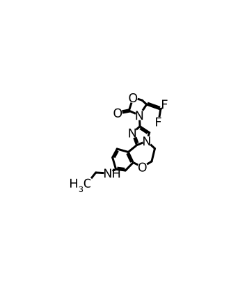 CCNc1ccc2c(c1)OCCn1cc(N3C(=O)OCC3=C(F)F)nc1-2